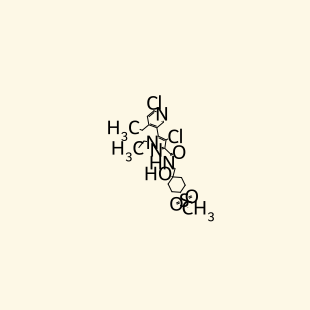 CCc1cc(Cl)ncc1-c1c(Cl)c(C(=O)NCC2(O)CCC(S(C)(=O)=O)CC2)nn1CC